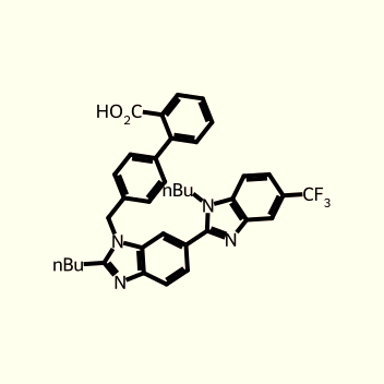 CCCCc1nc2ccc(-c3nc4cc(C(F)(F)F)ccc4n3CCCC)cc2n1Cc1ccc(-c2ccccc2C(=O)O)cc1